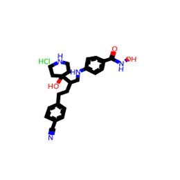 Cl.N#Cc1ccc(CCC(CNc2ccc(C(=O)NO)cc2)C2(O)CCNCC2)cc1